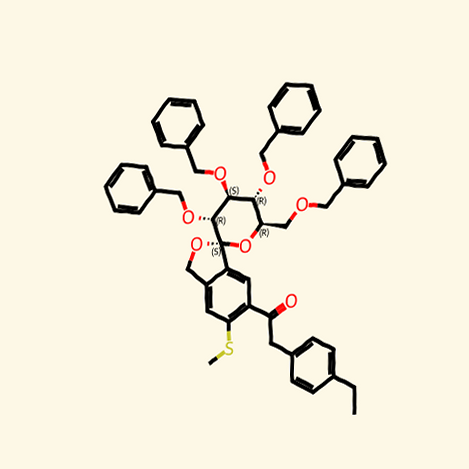 CCc1ccc(CC(=O)c2cc3c(cc2SC)CO[C@]32O[C@H](COCc3ccccc3)[C@@H](OCc3ccccc3)[C@H](OCc3ccccc3)[C@H]2OCc2ccccc2)cc1